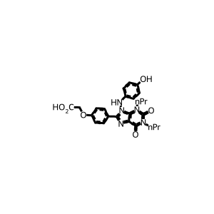 CCCn1c(=O)c2nc(-c3ccc(OCC(=O)O)cc3)n(Nc3ccc(O)cc3)c2n(CCC)c1=O